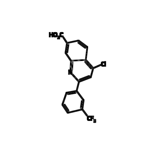 O=C(O)c1ccc2c(Cl)cc(-c3cccc(C(F)(F)F)c3)nc2c1